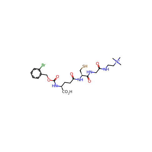 C[N+](C)(C)CCNC(=O)CNC(=O)[C@H](CS)NC(=O)CC[C@H](NC(=O)OCc1ccccc1Br)C(=O)O